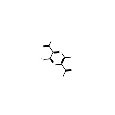 CC(=O)c1nc(N)c(C(=O)O)nc1N